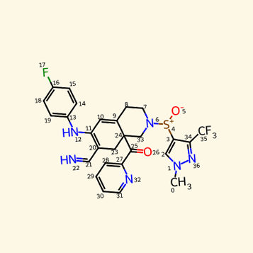 Cn1cc([S+]([O-])N2CCC3=CC(Nc4ccc(F)cc4)=C(C=N)CC3(C(=O)c3ccccn3)C2)c(C(F)(F)F)n1